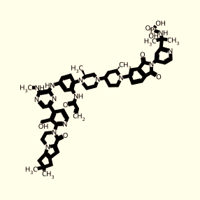 C=CC(=O)Nc1cc(Nc2nc(-c3ccnc(N4CCn5c(cc6c5CC(C)(C)C6)C4=O)c3CO)cnc2NC)ccc1N1CCN(C2CCN(c3ccc4c(c3)C(=O)N(c3ccnc(C(C)(C)NP(=O)(O)O)c3)C4=O)[C@@H](C)C2)C[C@@H]1C